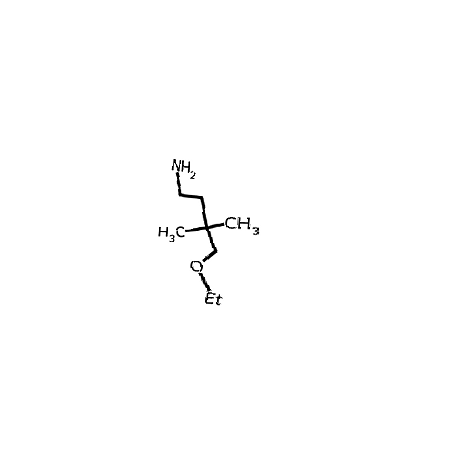 CCOCC(C)(C)CCN